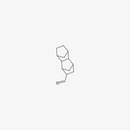 O=CC1CC2CC1C1C3CCC(C3)C21